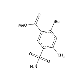 CCC(C)c1cc(C)c(S(N)(=O)=O)cc1C(=O)OC